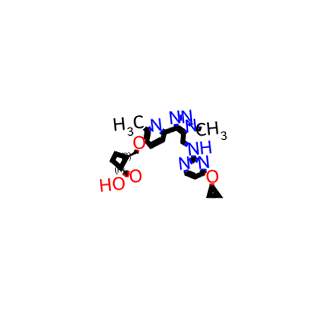 Cc1nc(-c2nnn(C)c2CNc2nccc(OC3CC3)n2)ccc1OC[C@@H]1CC[C@H]1C(=O)O